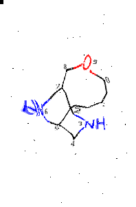 C1CC23NCC2NC3CO1